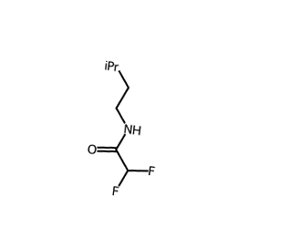 CC(C)CCNC(=O)C(F)F